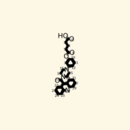 O=C(O)CCCC(=O)Oc1cccc(N2CCN(C(=O)c3c4ccccc4nc4ccccc34)CC2)c1